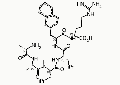 CC(C)C[C@H](NC(=O)[C@H](C)NC(=O)[C@H](C)N)C(=O)N[C@@H](CC(C)C)C(=O)N[C@@H](Cc1ccc2ccccc2c1)C(=O)N[C@@H](CCCNC(=N)N)C(=O)O